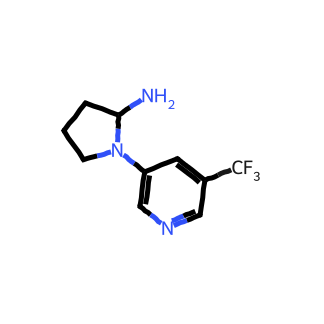 NC1CCCN1c1cncc(C(F)(F)F)c1